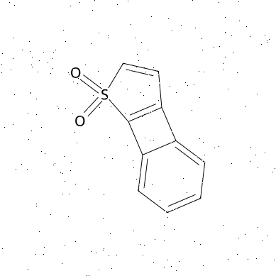 O=S1(=O)C=CC2=C1c1ccccc12